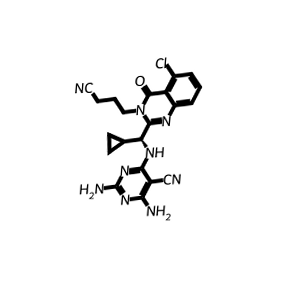 N#CCCCn1c([C@@H](Nc2nc(N)nc(N)c2C#N)C2CC2)nc2cccc(Cl)c2c1=O